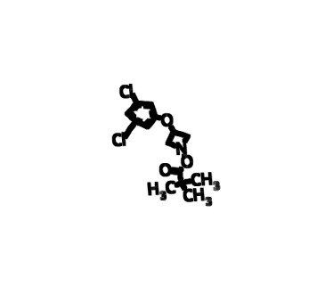 CC(C)(C)C(=O)ON1CC(Oc2cc(Cl)cc(Cl)c2)C1